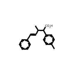 Cc1ccc(C(C(=O)O)C(C)/C=C/c2ccccc2)cc1